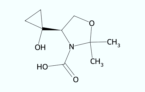 CC1(C)OC[C@H](C2(O)CC2)N1C(=O)O